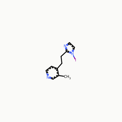 Cc1cnccc1CCc1nccn1I